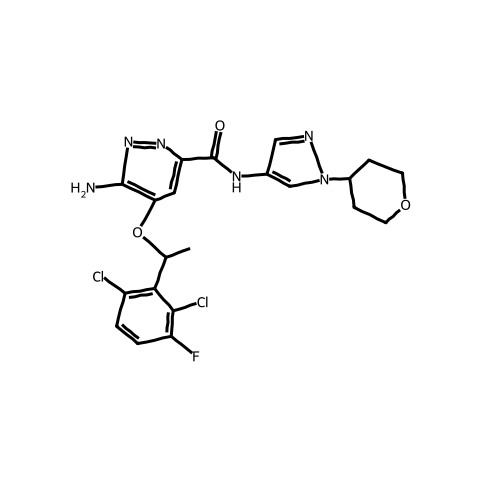 CC(Oc1cc(C(=O)Nc2cnn(C3CCOCC3)c2)nnc1N)c1c(Cl)ccc(F)c1Cl